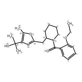 CCOc1ccccc1C(=O)N1CCCCC1Cc1nc(C(C)(C)O)c(C)o1